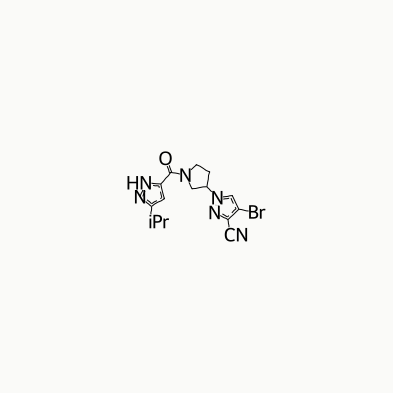 CC(C)c1cc(C(=O)N2CCC(n3cc(Br)c(C#N)n3)C2)[nH]n1